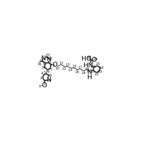 COc1ccc(-c2cc(OCCCCCCCCCCNc3ccccc3NC(=O)O)c3ncnc(C)c3c2)cn1